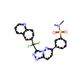 CN(C)S(=O)(=O)c1cccc(-c2ccc3nnc(C(F)(F)c4ccc5ncccc5c4)n3n2)c1